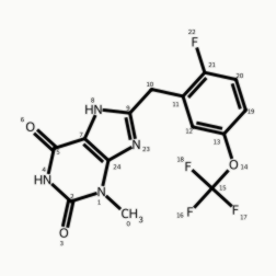 Cn1c(=O)[nH]c(=O)c2[nH]c(Cc3cc(OC(F)(F)F)ccc3F)nc21